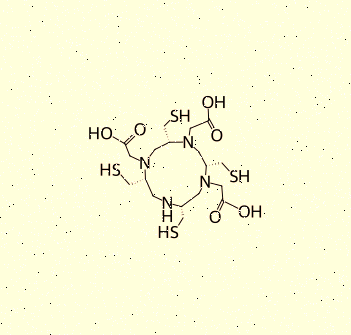 O=C(O)CN1C[C@H](CS)NC[C@H](CS)N(CC(=O)O)C[C@H](CS)N(CC(=O)O)C[C@@H]1CS